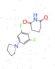 O=C1CC[C@H](c2c(F)cc(N3CCCC3)cc2F)C(=O)N1